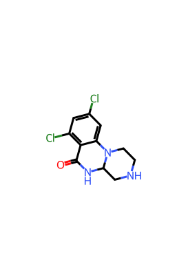 O=C1NC2CNCCN2c2cc(Cl)cc(Cl)c21